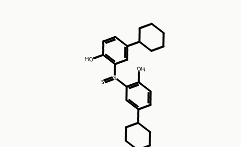 Oc1ccc(C2CCCCC2)cc1S(=S)c1cc(C2CCCCC2)ccc1O